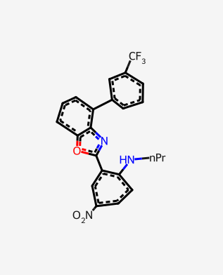 CCCNc1ccc([N+](=O)[O-])cc1-c1nc2c(-c3cccc(C(F)(F)F)c3)cccc2o1